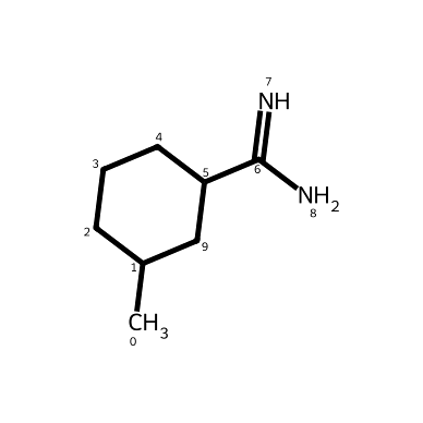 CC1CCCC(C(=N)N)C1